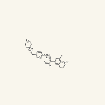 C/C=C(F)\C(=N/CNc1ccc(CN2CC3(CCN(C)CC3)C2)cn1)c1cc(F)c2c(c1)CCCN2